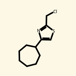 ClCc1nc(C2CCCCCC2)cs1